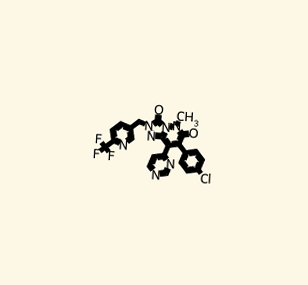 Cn1c(=O)c(-c2ccc(Cl)cc2)c(-c2ccncn2)c2nn(Cc3ccc(C(F)(F)F)nc3)c(=O)n21